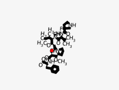 CC[C@H](C)[C@@H]([C@@H](CC(=O)N1CCC[C@H]1C(OC)[C@@H](C)C(=O)N[C@@H](Cc1ccccc1)C(=O)O)OC)N(C)C(=O)[C@@H](NC(=O)C1(F)CCNC1)C(C)C